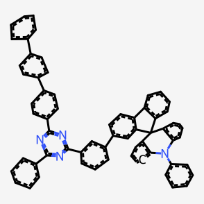 c1ccc(-c2ccc(-c3ccc(-c4nc(-c5ccccc5)nc(-c5cccc(-c6ccc7c(c6)C6(c8ccccc8-7)c7ccccc7N(c7ccccc7)c7ccccc76)c5)n4)cc3)cc2)cc1